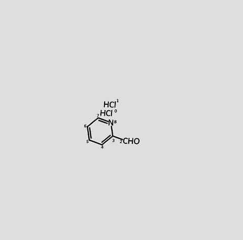 Cl.Cl.O=Cc1ccccn1